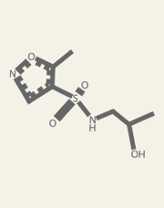 Cc1oncc1S(=O)(=O)NCC(C)O